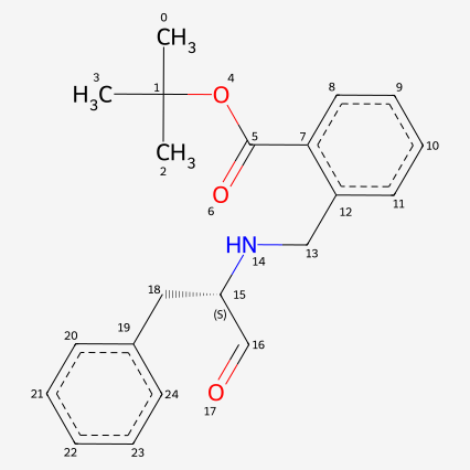 CC(C)(C)OC(=O)c1ccccc1CN[C@H](C=O)Cc1ccccc1